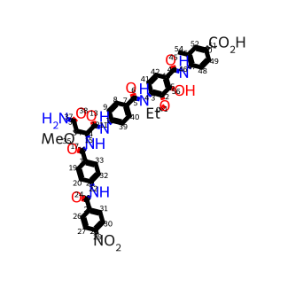 CCOc1c(NC(=O)c2ccc(NC(=O)C(NC(=O)c3ccc(NC(=O)c4ccc([N+](=O)[O-])cc4)cc3)C(OC)C(N)=O)cc2)ccc(C(=O)Nc2ccc(C(=O)O)cc2C)c1O